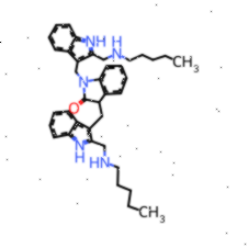 CCCCCNCc1[nH]c2ccccc2c1CC1C(=O)N(Cc2c(CNCCCCC)[nH]c3ccccc23)c2ccccc21